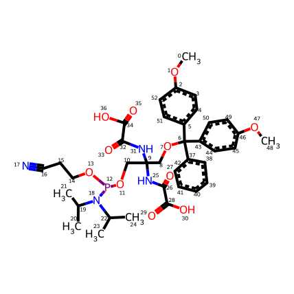 COc1ccc(C(OCC(COP(OCCC#N)N(C(C)C)C(C)C)(NC(=O)C(=O)O)NC(=O)C(=O)O)(c2ccccc2)c2ccc(OC)cc2)cc1